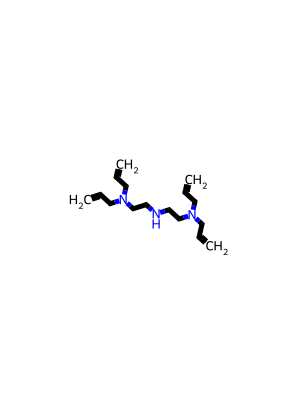 C=CCN(CC=C)CCNCCN(CC=C)CC=C